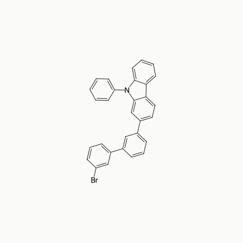 Brc1cccc(-c2cccc(-c3ccc4c5ccccc5n(-c5ccccc5)c4c3)c2)c1